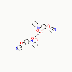 O=C(/C=C/C(=O)ON(c1ccc(OC2CN3CCC2CC3)cc1)C1CCCCC1)ON(c1ccc(OC2CN3CCC2CC3)cc1)C1CCCCC1